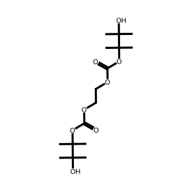 CC(C)(O)C(C)(C)OC(=O)OCCOC(=O)OC(C)(C)C(C)(C)O